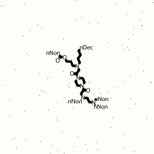 CCCCCCCCCCCCCCN(CCCOC(=O)CCCCCCCCC)CC(=O)N1CCN(C(=O)CN(CCCCCCCCC)CCN(CCCCCCCCC)CCCCCCCCC)CC1